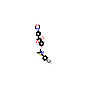 Cc1sc(-c2ccc(C(F)(F)F)cc2)nc1COc1ccc2c(=O)c(-c3ccc(N4CCOCC4)cc3)coc2c1